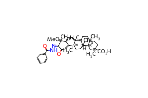 CO[C@@]1(C)C2=CC=C3[C@@](C)(CC[C@@]4(C)[C@@H]5C[C@](C)(C(=O)O)CC[C@]5(C)CC[C@]34C)C2=CC(=O)C1=NNC(=O)c1ccccc1